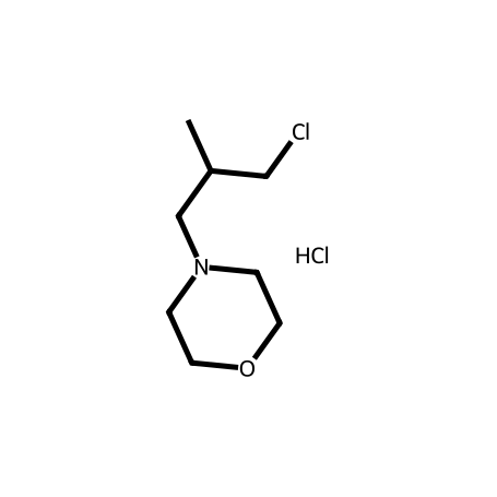 CC(CCl)CN1CCOCC1.Cl